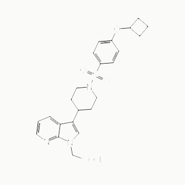 O=C(O)Cn1cc(C2CCN(S(=O)(=O)c3ccc(OC4CCC4)cc3)CC2)c2cccnc21